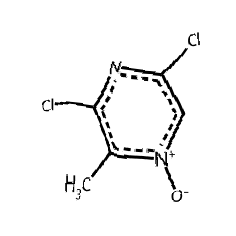 Cc1c(Cl)nc(Cl)c[n+]1[O-]